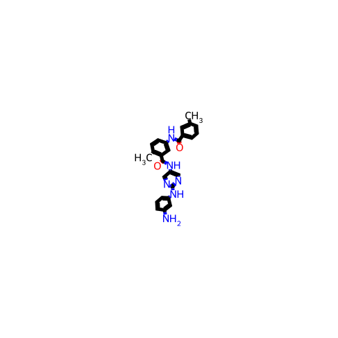 Cc1cccc(C(=O)Nc2ccc(C)c(C(=O)Nc3cnc(Nc4cccc(N)c4)nc3)c2)c1